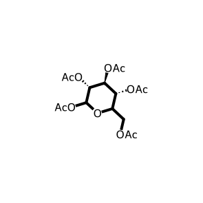 CC(=O)OCC1OC(OC(C)=O)[C@H](OC(C)=O)[C@@H](OC(C)=O)[C@@H]1OC(C)=O